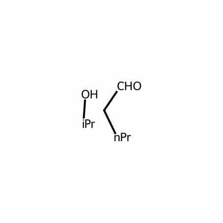 CC(C)O.CCCCC=O